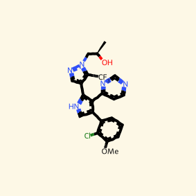 COc1cccc(-c2c[nH]c(-c3cnn(C[C@@H](C)O)c3C(F)(F)F)c2-c2ccncn2)c1Cl